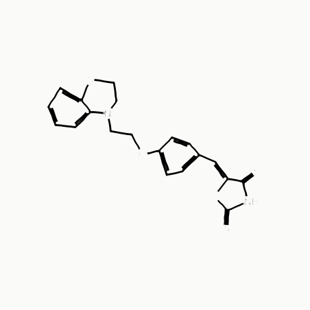 O=C1NC(=O)C(=Cc2ccc(OCCN3CCSc4ccccc43)cc2)S1